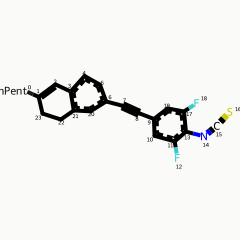 CCCCCC1=Cc2ccc(C#Cc3cc(F)c(N=C=S)c(F)c3)cc2CC1